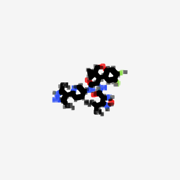 Cc1n[nH]c(C)c1-c1ccc(NC(=O)[C@@H](NC(=O)c2nonc2C(C)C)C2c3cc(F)c(F)cc3OCC23CC3)cn1